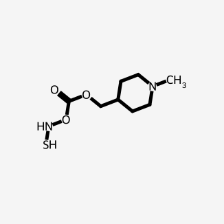 CN1CCC(COC(=O)ONS)CC1